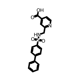 O=C(O)c1ccnc(CNS(=O)(=O)c2ccc(-c3ccccc3)cc2)c1